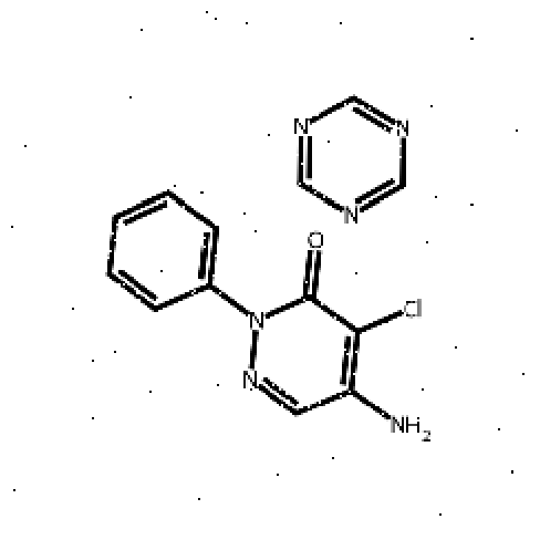 Nc1cnn(-c2ccccc2)c(=O)c1Cl.c1ncncn1